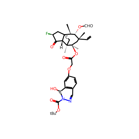 C=C[C@]1(C)C[C@@H](OC(=O)COc2ccc3c(c2)B(O)N(C(=O)OC(C)(C)C)N=C3)[C@]2(C)[C@H](C)CC[C@]3(C[C@H](F)C(=O)[C@H]32)[C@@H](C)[C@@H]1OC=O